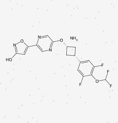 N.Oc1cc(-c2cnc(O[C@H]3C[C@@H](c4cc(F)c(OC(F)F)c(F)c4)C3)cn2)on1